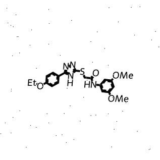 CCOc1ccc(-c2nnc(SCC(=O)Nc3cc(OC)cc(OC)c3)[nH]2)cc1